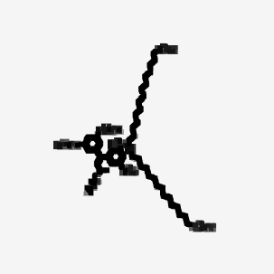 CCCCCCCCCCCCCCCCCCCCCCCC[CH2][Ni][CH2]CCCCCCCCCCCCCCCCCCCCCCCC.CCCCCCc1cc(CCCCCC)cc(C(=CC(C)=C=[N+]=[N-])c2cc(CCCC)cc(CCCC)c2)c1